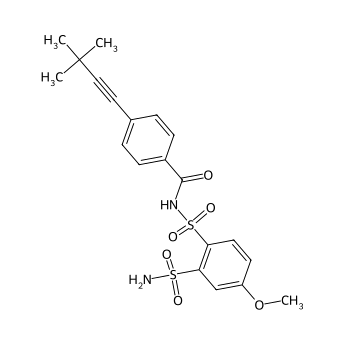 COc1ccc(S(=O)(=O)NC(=O)c2ccc(C#CC(C)(C)C)cc2)c(S(N)(=O)=O)c1